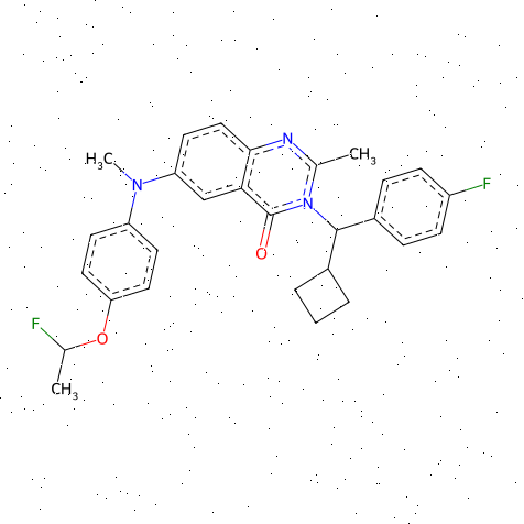 Cc1nc2ccc(N(C)c3ccc(OC(C)F)cc3)cc2c(=O)n1C(c1ccc(F)cc1)C1CCC1